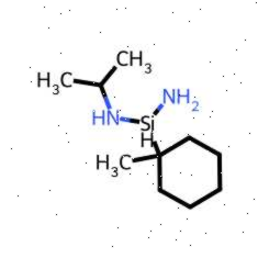 CC(C)N[SiH](N)C1(C)CCCCC1